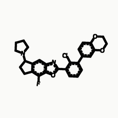 Fc1c2c(cc3nc(-c4cccc(-c5ccc6c(c5)OCCO6)c4Cl)oc13)C(N1CCCC1)CC2